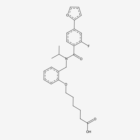 CC(C)N(Cc1ccccc1OCCCCCC(=O)O)C(=O)c1ccc(-c2ccco2)cc1F